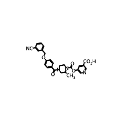 CC1CN(C(=O)c2ccc(OCc3cccc(C#N)c3)cc2)CCN1C(=O)Oc1cncc(C(=O)O)c1